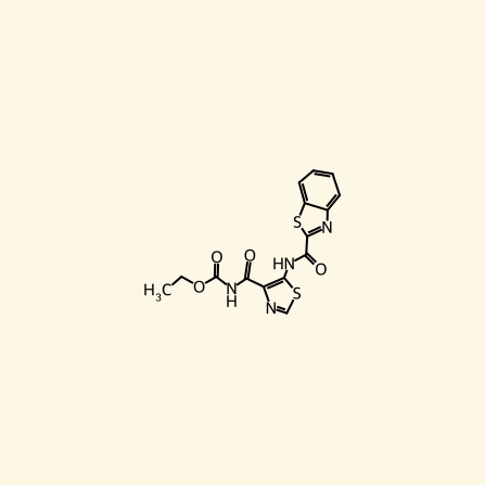 CCOC(=O)NC(=O)c1ncsc1NC(=O)c1nc2ccccc2s1